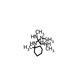 CNCC(NC)(N[SiH3])NC1(C)CCCCC1